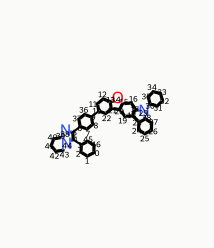 c1ccc(-c2c(-c3ccc(-c4ccc5oc6cc7c(cc6c5c4)c4ccccc4n7-c4ccccc4)cc3)nc3ccccn23)cc1